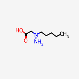 CCCCCN(N)CC(=O)O